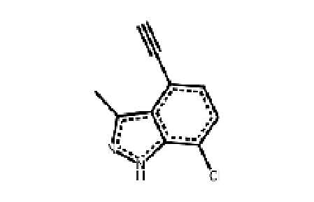 C#Cc1ccc(Cl)c2[nH]nc(C)c12